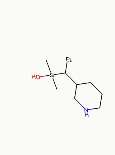 CCC(C1CCCNC1)[Si](C)(C)O